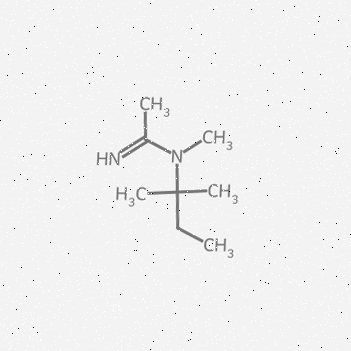 CCC(C)(C)N(C)C(C)=N